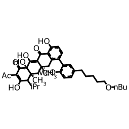 CCCCOCCCCCc1ccc(OC)c(-c2ccc(O)c3c2C[C@]2(C)C[C@]4(C)C(C(C)C)C(O)=C(C(C)=O)C(=O)[C@]4(O)C(O)=C2C3=O)c1